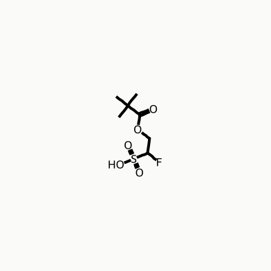 CC(C)(C)C(=O)OCC(F)S(=O)(=O)O